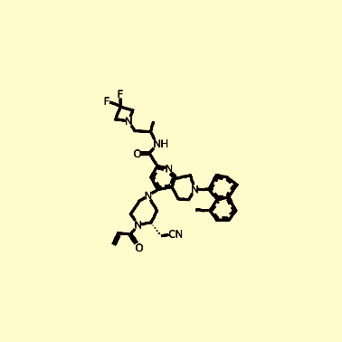 C=CC(=O)N1CCN(c2cc(C(=O)NC(C)CN3CC(F)(F)C3)nc3c2CCN(c2cccc4cccc(C)c24)C3)C[C@@H]1CC#N